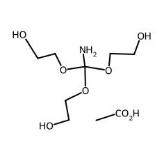 CC(=O)O.NC(OCCO)(OCCO)OCCO